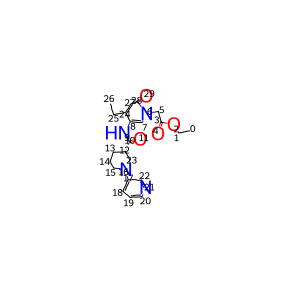 CCOC(=O)Cn1cc(NC(=O)[C@H]2CCCN(c3cccnc3)C2)c(CC)cc1=O